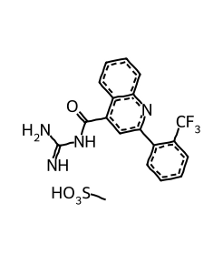 CS(=O)(=O)O.N=C(N)NC(=O)c1cc(-c2ccccc2C(F)(F)F)nc2ccccc12